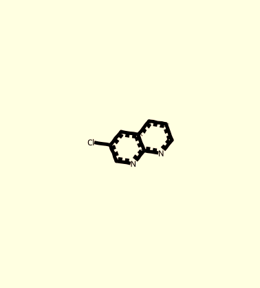 Clc1cnc2nc[c]cc2c1